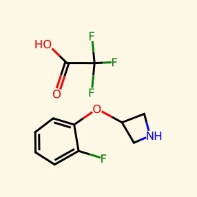 Fc1ccccc1OC1CNC1.O=C(O)C(F)(F)F